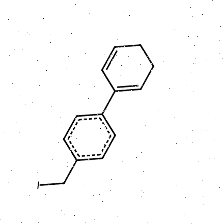 ICc1ccc(C2=CCCC=C2)cc1